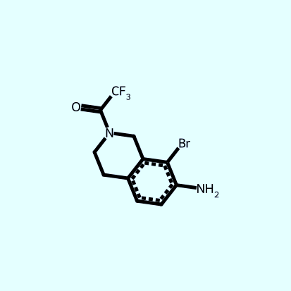 Nc1ccc2c(c1Br)CN(C(=O)C(F)(F)F)CC2